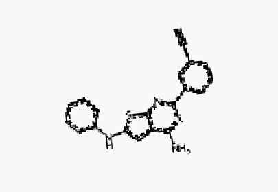 C#Cc1cccc(-c2nc(N)c3cc(Nc4ccccc4)sc3n2)c1